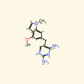 CC(C)Oc1cc(Cc2cnc(N)nc2N)cc2c1ccn2C